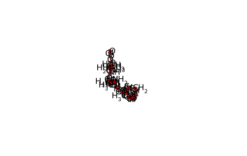 C=C1C[C@@H]2CC[C@@]34CC5O[C@@H]6C(O[C@H]7CCC(CC(=O)C[C@H]8[C@H](CC9O[C@@H](CCC1O2)C[C@@H](C)C9=C)OC(C[C@H](O)CNC(=O)OCc1ccc(NC(=O)[C@H](CC(N)=O)NC(=O)[C@H](C)NC(=O)[C@H](C)NC(=O)OCc2ccc(NC(=O)[C@H](CC(N)=O)NC(=O)[C@H](C)NC(=O)[C@H](C)NC(=O)CCOCCOCCN9C(=O)C=CC9=O)cc2)cc1)[C@@H]8OC)O[C@@H]7[C@@H]6O3)[C@@H]5O4